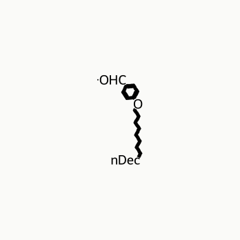 CCCCCCCCCCCCCCCCCCOc1ccc([C]=O)cc1